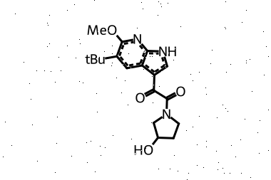 COc1nc2[nH]cc(C(=O)C(=O)N3CCC(O)C3)c2cc1C(C)(C)C